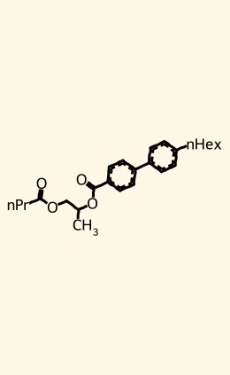 CCCCCCc1ccc(-c2ccc(C(=O)OC(C)COC(=O)CCC)cc2)cc1